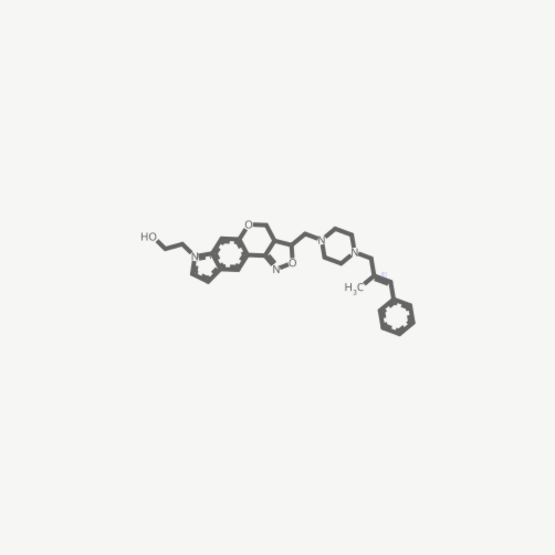 C/C(=C\c1ccccc1)CN1CCN(CC2ON=C3c4cc5ccn(CCO)c5cc4OCC32)CC1